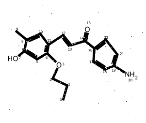 CCCOc1cc(O)c(C)cc1C=CC(=O)c1ccc(N)cc1